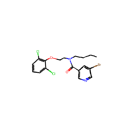 CCCCN(CCOc1c(Cl)cccc1Cl)C(=O)c1cncc(Br)c1